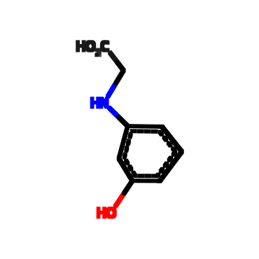 O=C(O)CNc1cccc(O)c1